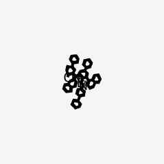 Cc1ccc(-c2ccccc2)cc1N1c2cc3ccccc3cc2B2c3c(cc(-c4ccccc4)cc31)-c1c(ccc3ccccc13)N2c1ccc(-c2ccccc2)cc1